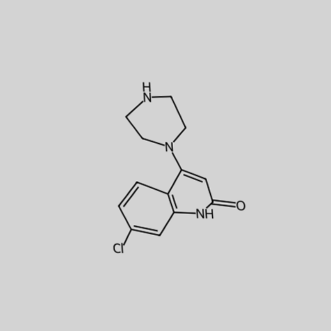 O=c1cc(N2CCNCC2)c2ccc(Cl)cc2[nH]1